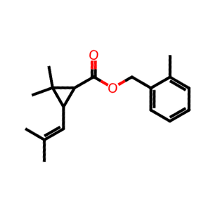 CC(C)=CC1C(C(=O)OCc2ccccc2C)C1(C)C